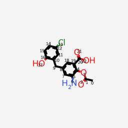 CC(=O)Oc1c(N)cc(Cc2cc(Cl)ccc2O)cc1C(=O)O